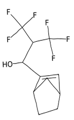 OC(C1=CC2CCC1C2)C(C(F)(F)F)C(F)(F)F